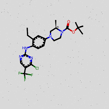 CCc1cc(N2CCN(C(=O)OC(C)(C)C)[C@H](C)C2)ccc1Nc1ncc(C(F)(F)F)c(Cl)n1